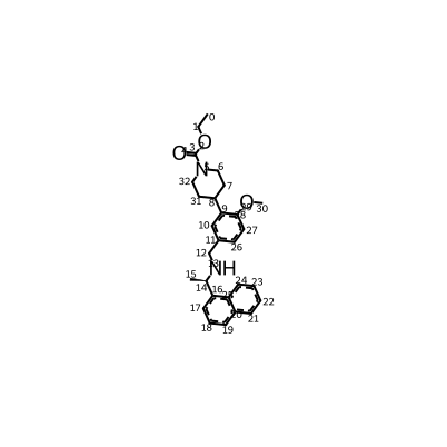 CCOC(=O)N1CCC(c2cc(CN[C@H](C)c3cccc4ccccc34)ccc2OC)CC1